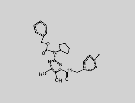 O=C(NCc1ccc(F)cc1)c1nc(N(C(=O)OCc2ccccc2)C2CCCC2)nc(O)c1O